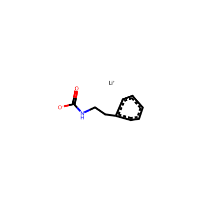 O=C([O-])NCCc1ccccc1.[Li+]